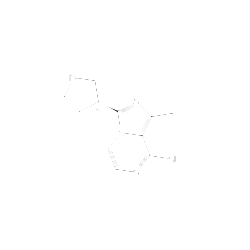 Cl.Nc1nccn2c([C@H]3CCNC3)nc(I)c12